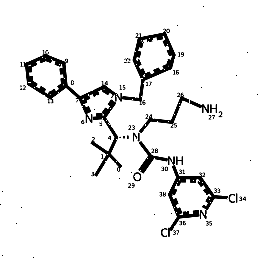 CC(C)(C)[C@H](c1nc(-c2ccccc2)cn1Cc1ccccc1)N(CCCN)C(=O)Nc1cc(Cl)nc(Cl)c1